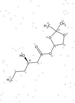 CCC[C@@H](O)CC(=O)OC1COC(C)(C)O1